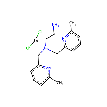 Cc1cccc(CN(CCN)Cc2cccc(C)n2)n1.[Cl][Fe][Cl]